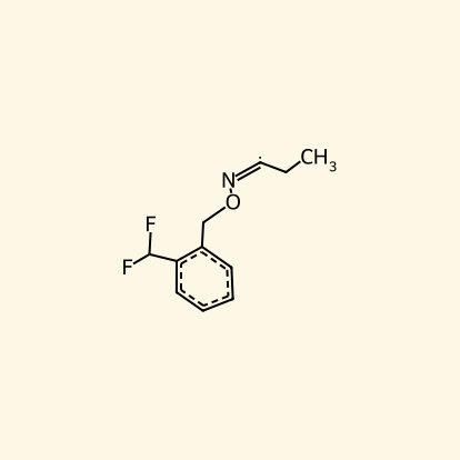 CC/[C]=N\OCc1ccccc1C(F)F